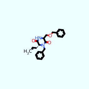 C=CC[C@@H]1C(=O)NC(COCc2ccccc2)C(=O)N1Cc1ccccc1